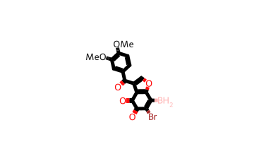 BC1=C(Br)C(=O)C(=O)c2c(C(=O)c3ccc(OC)c(OC)c3)coc21